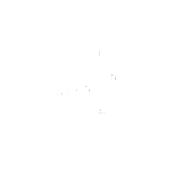 CC(=O)c1cc2ncc(F)cc2nc1-c1ccccc1S(C)(=O)=O